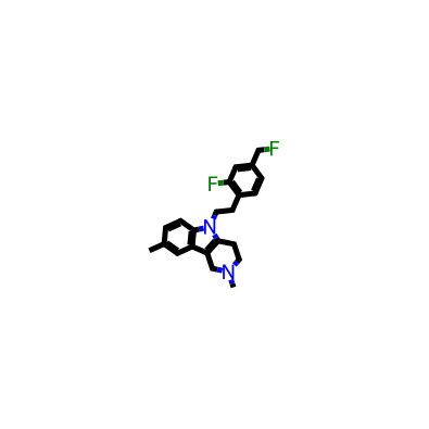 Cc1ccc2c(c1)c1c(n2CCc2ccc(CF)cc2F)CCN(C)C1